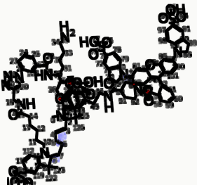 C[N+]1=C(/C=C/C=C/C=C2\N(CCCCCC(=O)NCc3cn(-c4cccc(C(=O)N[C@@H](CCCCN)C(=O)COc5c(F)cc(CCNC(=O)C6CCN(S(=O)(=O)c7ccccc7-c7c8cc/c(=[N+]9\CCc%10cc(S(=O)(=O)O)ccc%109)cc-8oc8cc(N9CCc%10cc(S(=O)(=O)O)ccc%109)ccc78)CC6)cc5F)c4)nn3)c3ccc(S(=O)(=O)O)cc3C2(C)C)C(C)(C)c2cc(S(=O)(=O)O)ccc21